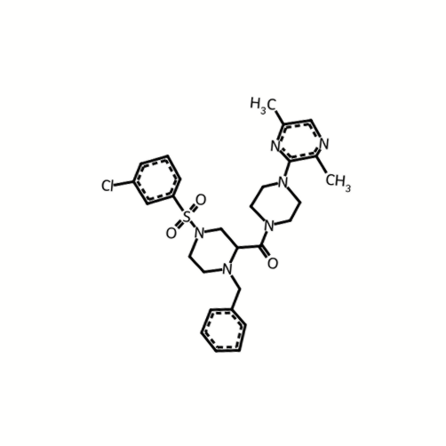 Cc1cnc(C)c(N2CCN(C(=O)C3CN(S(=O)(=O)c4cccc(Cl)c4)CCN3Cc3ccccc3)CC2)n1